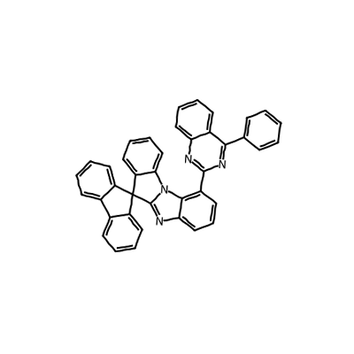 c1ccc(-c2nc(-c3cccc4nc5n(c34)-c3ccccc3C53c4ccccc4-c4ccccc43)nc3ccccc23)cc1